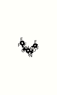 CC1(C#N)C(=O)N(Cc2cc(F)cc(F)c2)c2cc(C(=O)NCc3c(F)cc(F)cc3F)cc(I)c21